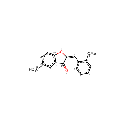 COc1ccccc1C=C1Oc2ccc(C(=O)O)cc2C1=O